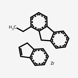 C1=Cc2ccccc2C1.CCc1cccc2c1Cc1ccccc1-2.[Zr]